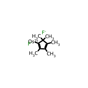 CC1=C(C)C(C)(C)[C]([Os+2])=C1C.[F-].[F-]